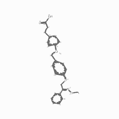 CON=C(COc1ccc(COc2ccc(CCC(=O)O)cc2)cc1)c1ccccc1